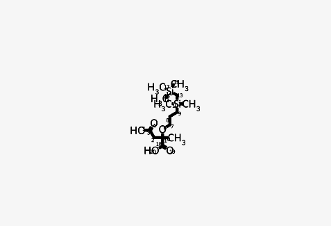 CC(CC(=O)O)(OCCC[Si](C)(C)C[Si](C)(C)C)C(=O)O